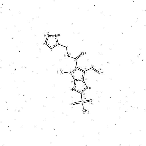 Cn1c(C(=O)NCc2cc[nH]n2)c(C=N)c2sc(S(C)(=O)=O)nc21